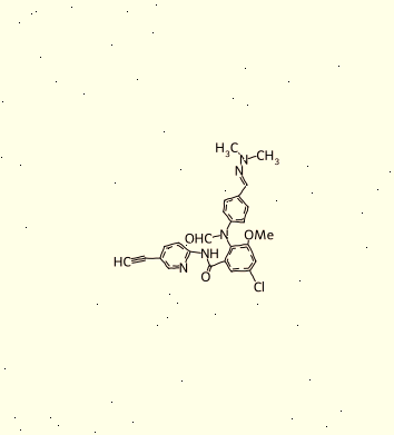 C#Cc1ccc(NC(=O)c2cc(Cl)cc(OC)c2N(C=O)c2ccc(C=NN(C)C)cc2)nc1